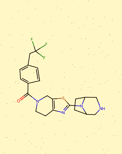 O=C(c1ccc(CC(F)(F)F)cc1)N1CCc2nc(N3C4CCC3CNC4)sc2C1